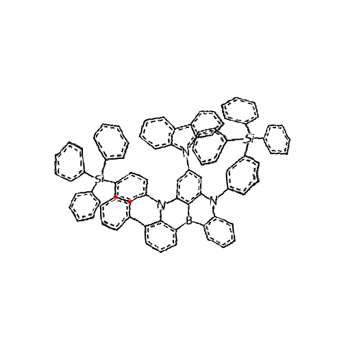 c1ccc(-c2cccc3c2N(c2ccc([Si](c4ccccc4)(c4ccccc4)c4ccccc4)cc2)c2cc(-n4c5ccccc5c5ccccc54)cc4c2B3c2ccccc2N4c2cccc([Si](c3ccccc3)(c3ccccc3)c3ccccc3)c2)cc1